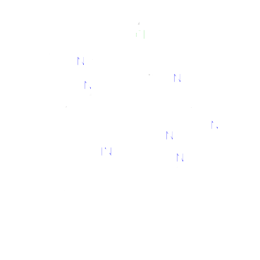 CC(C)C(C)Nc1c(-n2cccn2)c(Cl)nc2ncnn12